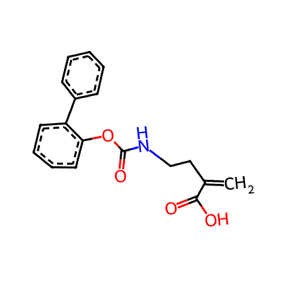 C=C(CCNC(=O)Oc1ccccc1-c1ccccc1)C(=O)O